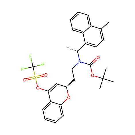 Cc1ccc([C@@H](C)N(CC[C@@H]2C=C(OS(=O)(=O)C(F)(F)F)c3ccccc3O2)C(=O)OC(C)(C)C)c2ccccc12